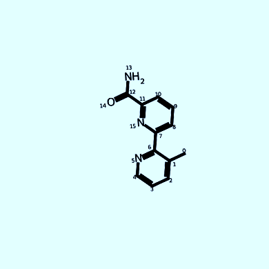 Cc1cccnc1-c1cccc(C(N)=O)n1